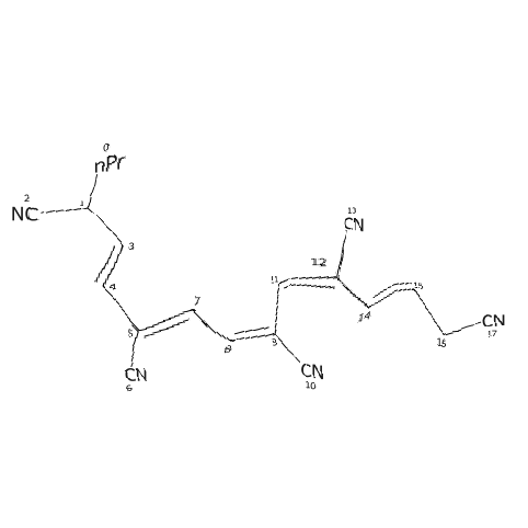 CCCC(C#N)C=CC(C#N)=CC=C(C#N)C=C(C#N)C=CCC#N